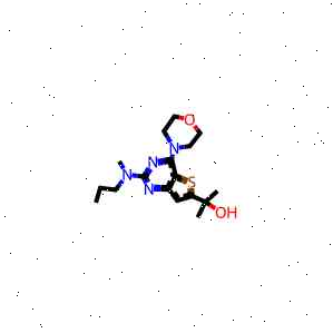 CCCN(C)c1nc(N2CCOCC2)c2sc(C(C)(C)O)cc2n1